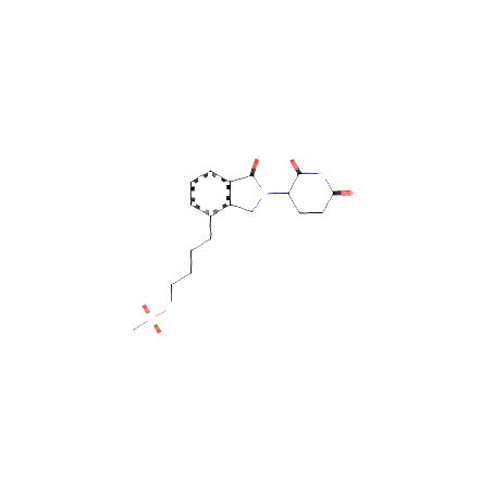 CS(=O)(=O)OCCCCc1cccc2c1CN(C1CCC(=O)NC1=O)C2=O